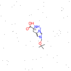 CC(C)(C)OCn1cnc(C[C@H](N)C(=O)O)c1